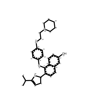 CC(C)C1=CCC(c2ccc3cc(O)ccc3c2Oc2ccc(OCCN3CCCCC3)cc2)S1